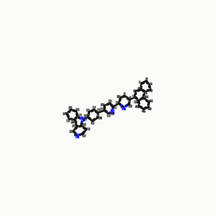 c1ccc2c(c1)cc(-c1ccc(-c3ccc(-c4ccc(-n5c6ccccc6c6cnccc65)cc4)cn3)nc1)c1ccccc12